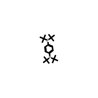 CC(C)(C)P(c1ccc(P(C(C)(C)C)C(C)(C)C)cc1)C(C)(C)C